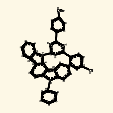 COc1ccc(-c2nc(-c3ccc(C#N)cc3)nc(-n3c4ccccc4c4ccc5c(c6ccccc6n5-c5ccccc5)c43)n2)cc1